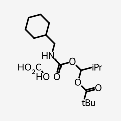 CC(C)C(OC(=O)NCC1CCCCC1)OC(=O)C(C)(C)C.O=C(O)O